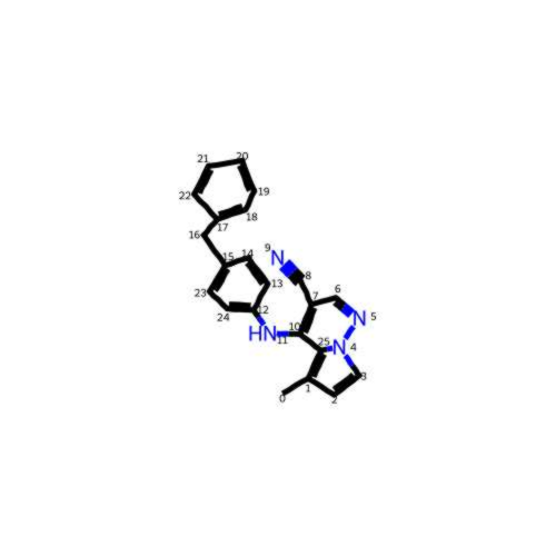 Cc1ccn2ncc(C#N)c(Nc3ccc(Cc4ccccc4)cc3)c12